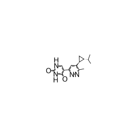 Cc1nnc(-c2c[nH]c(=O)[nH]c2=O)cc1[C@H]1C[C@@H]1C(C)C